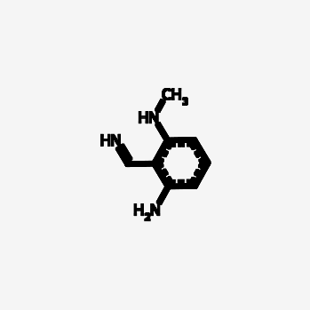 CNc1cccc(N)c1C=N